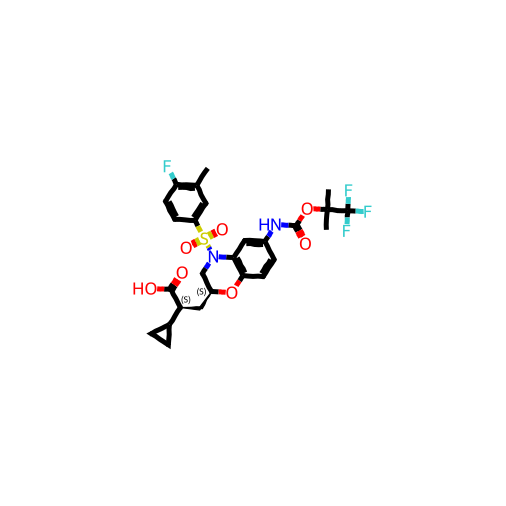 Cc1cc(S(=O)(=O)N2C[C@H](C[C@H](C(=O)O)C3CC3)Oc3ccc(NC(=O)OC(C)(C)C(F)(F)F)cc32)ccc1F